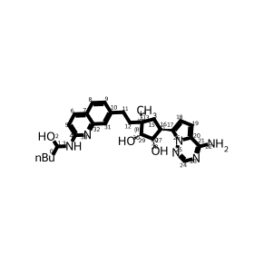 CCCCC(O)Nc1ccc2ccc(CC[C@@]3(C)C[C@@H](c4ccc5c(N)ncnn45)[C@H](O)[C@@H]3O)cc2n1